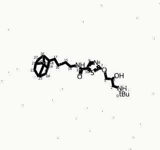 CC(C)(C)NCC(O)COc1ncc(C(=O)NCCCCC2C3CC4CC(C3)CC2C4)s1